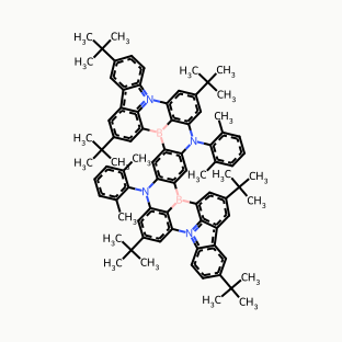 Cc1cccc(C)c1N1c2cc3c(cc2B2c4c1cc(C(C)(C)C)cc4-n1c4ccc(C(C)(C)C)cc4c4cc(C(C)(C)C)cc2c41)N(c1c(C)cccc1C)c1cc(C(C)(C)C)cc2c1B3c1cc(C(C)(C)C)cc3c4cc(C(C)(C)C)ccc4n-2c13